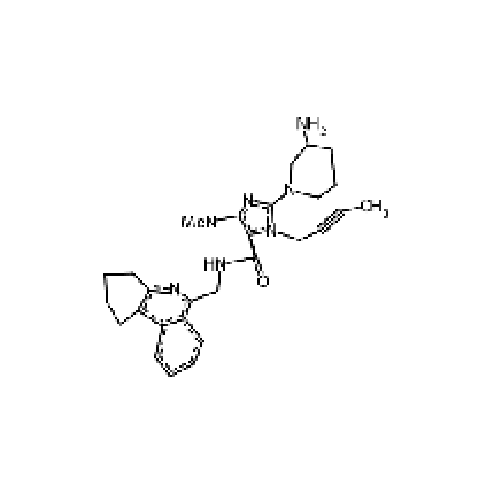 CC#CCn1c(N2CCCC(N)C2)nc(NC)c1C(=O)NCc1nc2c(c3ccccc13)CCCC2